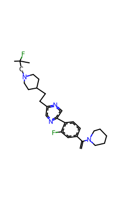 C=C(c1ccc(-c2cnc(CCC3CCN(CC(C)(C)F)CC3)cn2)c(F)c1)N1CCCCC1